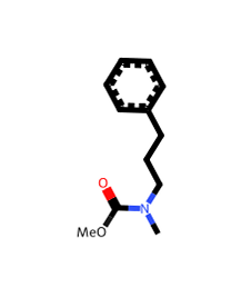 COC(=O)N(C)CCCc1ccccc1